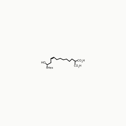 CCCCCC[C@@H](O)C/C=C\CCCCCCC(C(=O)O)C(=O)O